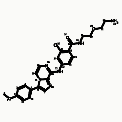 COc1ccc(-c2cnc3c(Nc4ccc(C(=O)NCCOCCN)c(Cl)c4)nccn23)cc1